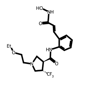 CCOCCN1C[C@@H](C(F)(F)F)[C@H](C(=O)Nc2ccccc2C=CC(=O)NO)C1